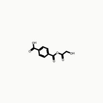 O=C(CO)OC(=O)c1ccc(C(=O)O)cc1